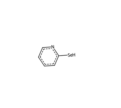 [SeH]c1ccccn1